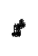 O=C(Nc1ccc(-c2cc(C(=O)Nc3ccccn3)c3ncccc3n2)cc1)Nc1cc(C(F)(F)F)cc(C(F)(F)F)c1